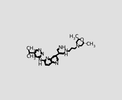 CC(C)c1cnnc(Nc2ccc3ncc(/C(C=N)=C/NCCCN4C[C@@H](C)O[C@@H](C)C4)cc3n2)c1